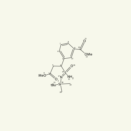 COC(=O)CC(c1cccc(C(=O)OC)c1)S(N)(=O)=N[Si](C)(C)C(C)(C)C